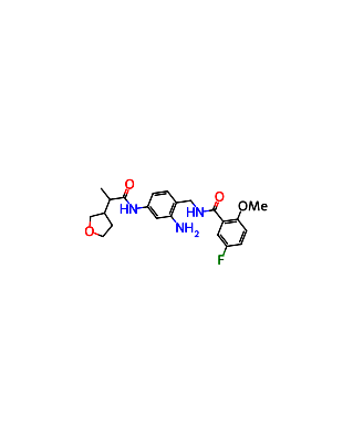 COc1ccc(F)cc1C(=O)NCc1ccc(NC(=O)C(C)C2CCOC2)cc1N